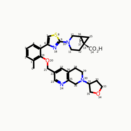 Cc1cccc(-c2csc(N3CC[C@@]4(C(=O)O)C[C@H]4C3)n2)c1OCc1cnc2c(c1)CCN(C1CCOC1)C2